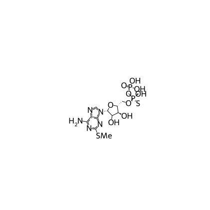 CSc1nc(N)c2ncn([C@@H]3O[C@H](CO[P@@](O)(=S)OP(=O)(O)O)[C@@H](O)C3O)c2n1